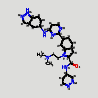 CN(C)CCn1c(C(=O)Nc2ccnnc2)cc2ccc(-c3nccc(Nc4ccc5[nH]ncc5c4)n3)cc21